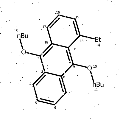 CCCCOc1c2ccccc2c(OCCCC)c2c(CC)cccc12